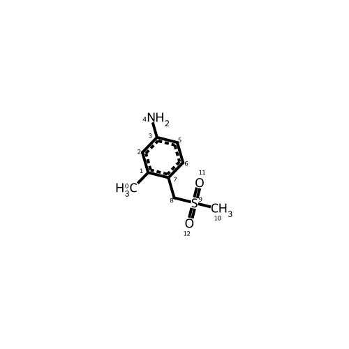 Cc1cc(N)ccc1CS(C)(=O)=O